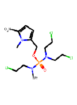 CCCN(CCCl)P(=O)(OCc1ccc([N+](=O)[O-])n1C)N(CCCl)CCCl